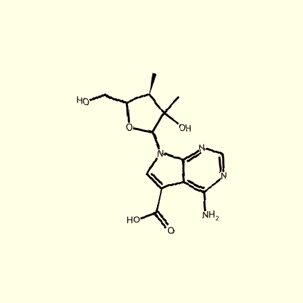 C[C@@H]1C(CO)OC(n2cc(C(=O)O)c3c(N)ncnc32)C1(C)O